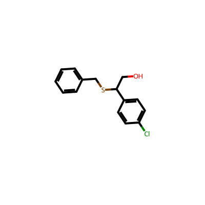 OCC(SCc1ccccc1)c1ccc(Cl)cc1